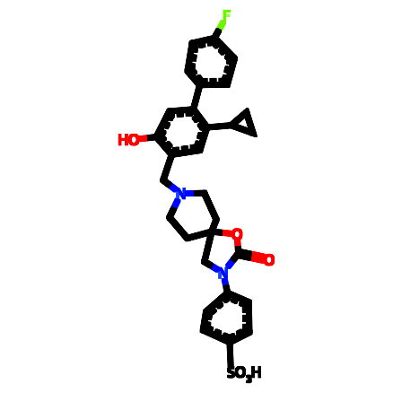 O=C1OC2(CCN(Cc3cc(C4CC4)c(-c4ccc(F)cc4)cc3O)CC2)CN1c1ccc(S(=O)(=O)O)cc1